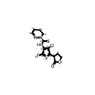 O=C1OCCC1c1sc(F)c(NC(=S)N2CCCC=N2)c1Cl